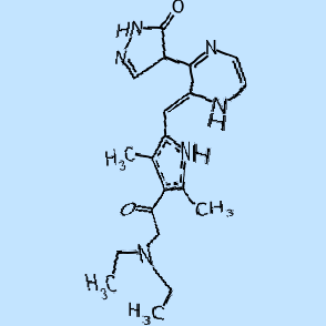 CCN(CC)CC(=O)c1c(C)[nH]c(C=C2NC=CN=C2C2C=NNC2=O)c1C